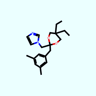 CCC1(CC)COC(Cc2cc(C)cc(C)c2)(Cn2ccnc2)OC1